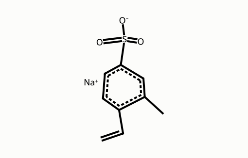 C=Cc1ccc(S(=O)(=O)[O-])cc1C.[Na+]